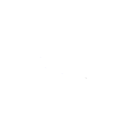 O=C(NC[C@H]1CC[C@H](C(=O)O)CC1)c1cc(C(F)(F)F)cc2ccn(Cc3ccc(-c4ccccc4)cn3)c12